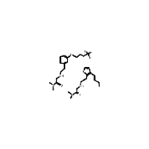 CCCCc1ccsc1CCNCC(=O)N(C)C.CN(C)C(=O)CNCCc1cccc(OCCCC(F)(F)F)c1